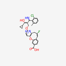 Cc1cccc(Cl)c1C(=N)/C(COC/C=C\C1=C(/N)C/C(F)=C\c2ccc(C(=O)O)cc2O1)=C(\O)C1CC1